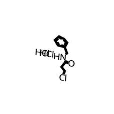 Cl.Cl.O=C(CCCl)NCc1ccccc1